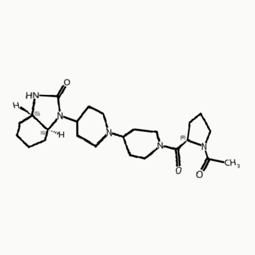 CC(=O)N1CCC[C@@H]1C(=O)N1CCC(N2CCC(N3C(=O)N[C@H]4CCCC[C@@H]43)CC2)CC1